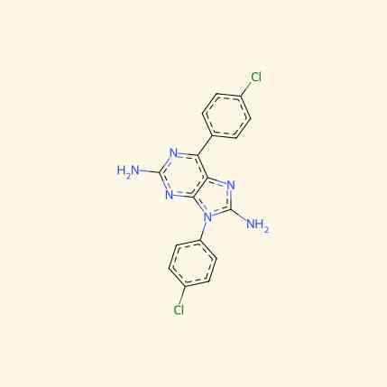 Nc1nc(-c2ccc(Cl)cc2)c2nc(N)n(-c3ccc(Cl)cc3)c2n1